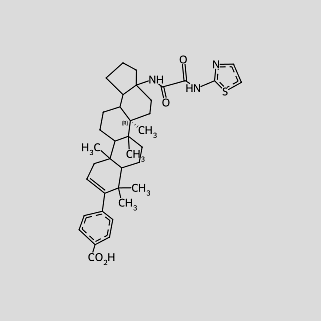 CC1(C)C(c2ccc(C(=O)O)cc2)=CCC2(C)C1CCC1(C)C2CCC2C3CCCC3(NC(=O)C(=O)Nc3nccs3)CC[C@]21C